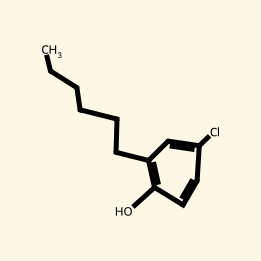 CCCCCCc1cc(Cl)ccc1O